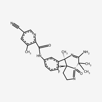 Cc1cc(C#N)cnc1C(=O)Nc1ccc(F)c([C@@]2(C)N=C(N)C(C)(C)[S@]3(=O)=NCC[C@H]23)c1